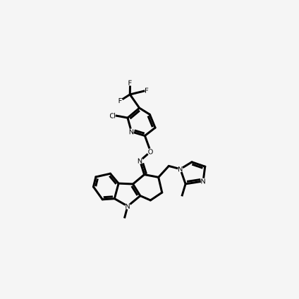 Cc1nccn1CC1CCc2c(c3ccccc3n2C)/C1=N/Oc1ccc(C(F)(F)F)c(Cl)n1